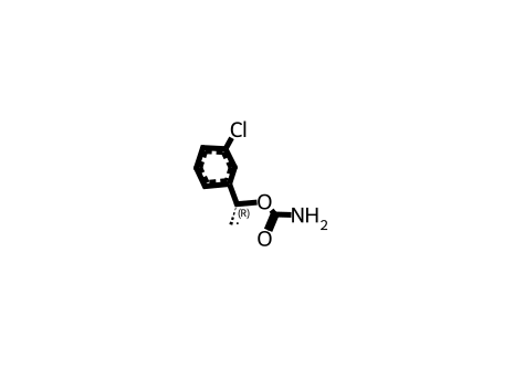 [CH2][C@@H](OC(N)=O)c1cccc(Cl)c1